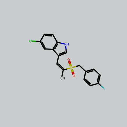 N#CC(=Cc1c[nH]c2ccc(Cl)cc12)S(=O)(=O)Cc1ccc(F)cc1